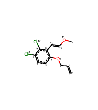 C=CCOc1ccc(Cl)c(Cl)c1/C=C/OC